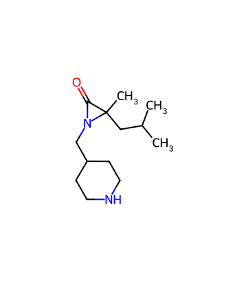 CC(C)CC1(C)C(=O)N1CC1CCNCC1